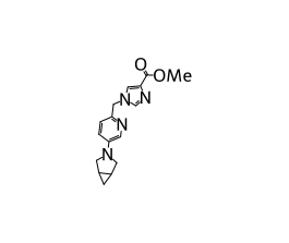 COC(=O)c1cn(Cc2ccc(N3CC4CC4C3)cn2)cn1